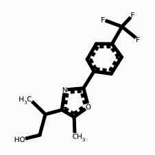 Cc1oc(-c2ccc(C(F)(F)F)cc2)nc1C(C)CO